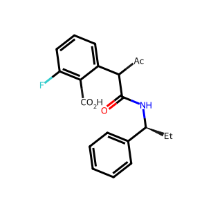 CC[C@H](NC(=O)C(C(C)=O)c1cccc(F)c1C(=O)O)c1ccccc1